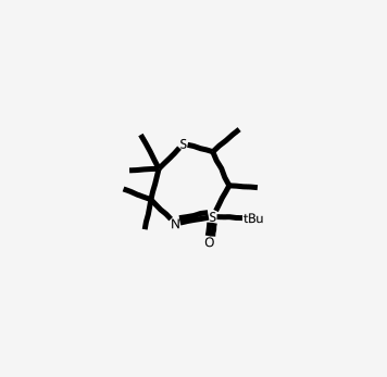 CC1SC(C)(C)C(C)(C)N=S(=O)(C(C)(C)C)C1C